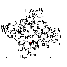 [2H]c1cc(C(C)(C)C)cc([2H])c1N(c1c([2H])c([2H])c(C(C)C)c([2H])c1[2H])c1c2c([2H])c([2H])c(C(C)(C)CCCC)c([2H])c2c(N(c2c([2H])cc(C(C)(C)C)cc2[2H])c2c([2H])c([2H])c(C(C)C)c([2H])c2[2H])c2c([2H])c([2H])c(C(C)(C)CCCC)c([2H])c12